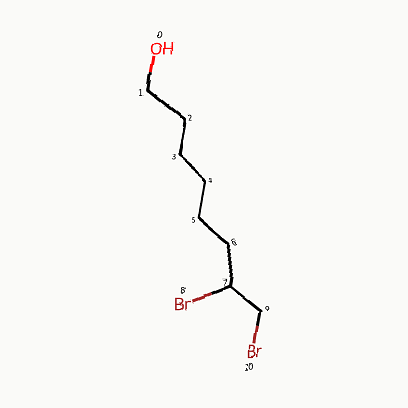 OCCCCCCC(Br)CBr